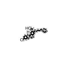 COc1cc2c(Nc3ccc(Cl)cc3F)ncnc2cc1OC/C=C/CN1CCOCC1.Cl